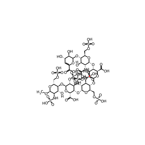 CO[C@H]1O[C@H](COS(=O)(=O)O)[C@@H](O[C@@H]2O[C@@H](C(=O)O)[C@@H](O[C@H]3O[C@H](COS(=O)(=O)O)[C@@H](O[C@@H]4O[C@H](C(=O)O)[C@@H](O[C@H]5O[C@H](COS(=O)(=O)O)[C@@H](OC6OC(C(=O)O)=C[C@H](O)[C@H]6O)[C@H](O)[C@H]5NC(C)=O)[C@H](O)[C@H]4O)[C@H](OS(=O)(=O)O)[C@H]3NS(=O)(=O)O)[C@H](O)[C@H]2OS(=O)(=O)O)[C@H](O)[C@H]1NS(=O)(=O)O